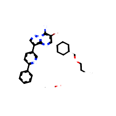 COCCOC[C@H]1CC[C@H](c2nc3c(-c4ccc(-c5ccccc5)nc4)cnn3c(N)c2Br)CC1.O=C(O)O